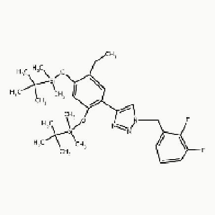 CCc1cc(-c2cn(Cc3cccc(F)c3F)nn2)c(O[Si](C)(C)C(C)(C)C)cc1O[Si](C)(C)C(C)(C)C